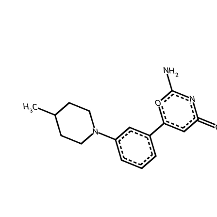 CC1CCN(c2cccc(-c3cc(=O)nc(N)o3)c2)CC1